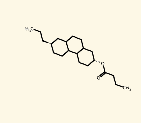 CCCC(=O)O[C@@H]1CCC2C(CCC3C[C@H](CCC)CCC32)C1